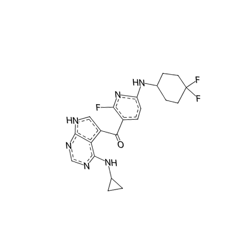 O=C(c1ccc(NC2CCC(F)(F)CC2)nc1F)c1c[nH]c2ncnc(NC3CC3)c12